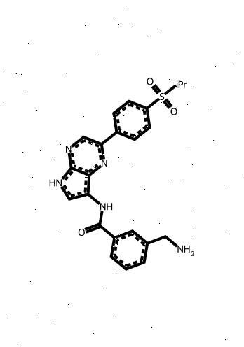 CC(C)S(=O)(=O)c1ccc(-c2cnc3[nH]cc(NC(=O)c4cccc(CN)c4)c3n2)cc1